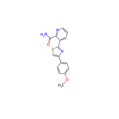 COc1ccc(-c2csc(-c3cccnc3C(N)=O)n2)cc1